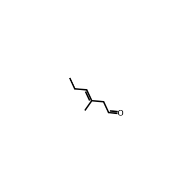 CC/C=C(\C)CC=O